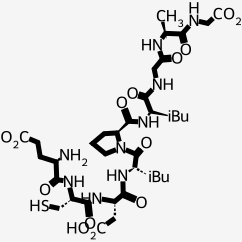 CC[C@H](C)[C@H](NC(=O)[C@@H]1CCCN1C(=O)[C@@H](NC(=O)[C@H](CC(=O)O)NC(=O)[C@H](CS)NC(=O)[C@@H](N)CCC(=O)O)[C@@H](C)CC)C(=O)NCC(=O)N[C@@H](C)C(=O)NCC(=O)O